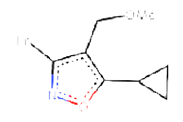 COCc1c(C(C)C)noc1C1CC1